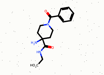 NC1(C(=O)NCC(=O)O)CCN(C(=O)c2ccccc2)CC1